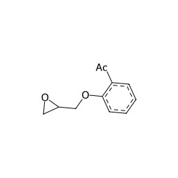 CC(=O)c1ccccc1OCC1CO1